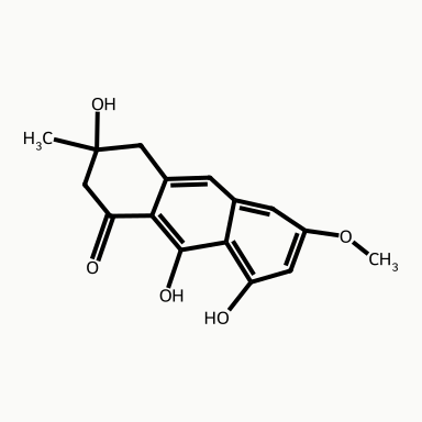 COc1cc(O)c2c(O)c3c(cc2c1)CC(C)(O)CC3=O